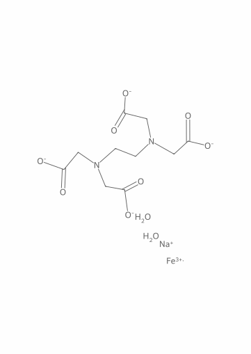 O.O.O=C([O-])CN(CCN(CC(=O)[O-])CC(=O)[O-])CC(=O)[O-].[Fe+3].[Na+]